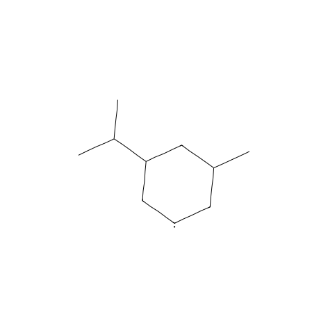 CC1C[CH]CC(C(C)C)C1